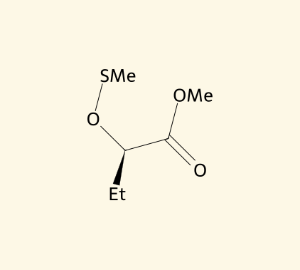 CC[C@@H](OSC)C(=O)OC